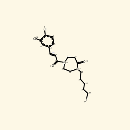 O=C(/C=C/c1ccc(Cl)c(Cl)c1)N1CCC(=O)N(CCCCCI)CC1